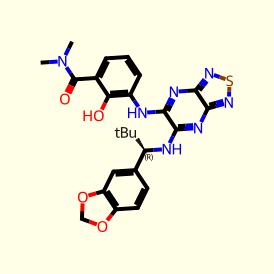 CN(C)C(=O)c1cccc(Nc2nc3nsnc3nc2N[C@@H](c2ccc3c(c2)OCO3)C(C)(C)C)c1O